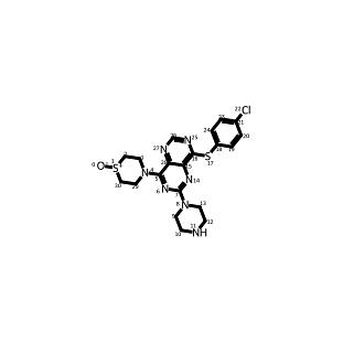 [O-][S+]1CCN(c2nc(N3CCNCC3)nc3c(Sc4ccc(Cl)cc4)ncnc23)CC1